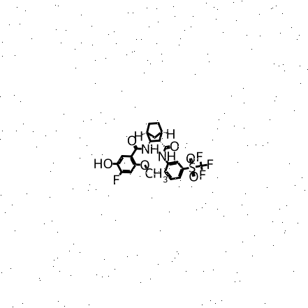 COc1cc(F)c(O)cc1C(=O)N[C@@H]1[C@H]2CC[C@H](C2)[C@@H]1C(=O)Nc1cccc(S(=O)(=O)C(F)(F)F)c1